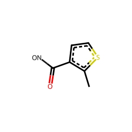 Cc1sccc1C(=O)N=O